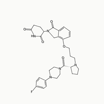 O=C1CCC(N2Cc3c(OCCCN4CCC[C@@H]4C(=O)N4CCN(c5ccc(F)cc5)CC4)cccc3C2=O)C(=O)N1